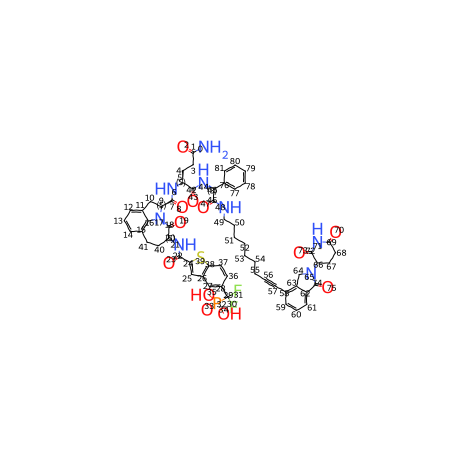 NC(=O)CC[C@H](NC(=O)[C@@H]1Cc2cccc3c2N1C(=O)[C@@H](NC(=O)c1cc2cc(C(F)(F)P(=O)(O)O)ccc2s1)CC3)C(=O)N[C@H](C(=O)NCCCCCCCC#Cc1cccc2c1CN(C1CCC(=O)NC1=O)C2=O)c1ccccc1